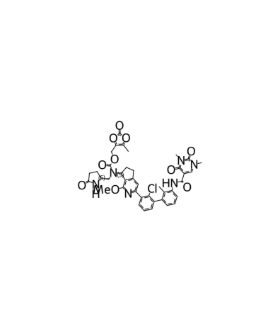 COc1nc(-c2cccc(-c3cccc(NC(=O)c4cn(C)c(=O)n(C)c4=O)c3C)c2Cl)cc2c1[C@@H](N(C[C@@H]1CCC(=O)N1)C(=O)OCc1oc(=O)oc1C)CC2